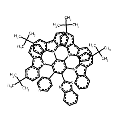 CC(C)(C)c1ccc2c(c1)c1ccccc1n2-c1c(-c2ccncc2)c(-c2nc3ccccc3s2)c(-n2c3ccccc3c3cc(C(C)(C)C)ccc32)c(-n2c3ccccc3c3cc(C(C)(C)C)ccc32)c1-n1c2ccccc2c2cc(C(C)(C)C)ccc21